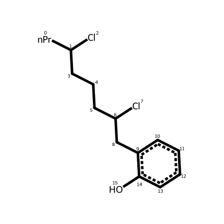 CCCC(Cl)CCCC(Cl)Cc1ccccc1O